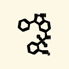 O=[N+]([O-])c1ccccc1S(=O)(=O)Nc1ccc2[nH]nc(-c3ccccc3)c2c1